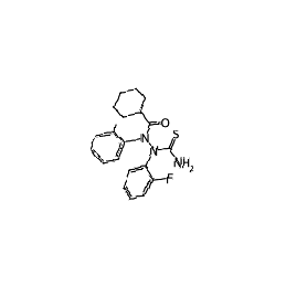 Cc1ccccc1N(C(=O)C1CCCCC1)N(C(N)=S)c1ccccc1F